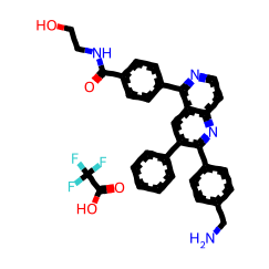 NCc1ccc(-c2nc3ccnc(-c4ccc(C(=O)NCCO)cc4)c3cc2-c2ccccc2)cc1.O=C(O)C(F)(F)F